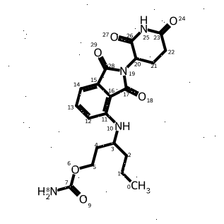 CCCC(CCOC(N)=O)Nc1cccc2c1C(=O)N(C1CCC(=O)NC1=O)C2=O